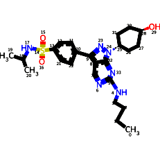 CCCCNc1ncc2c(-c3ccc(S(=O)(=O)NC(C)C)cc3)nn([C@H]3CC[C@H](O)CC3)c2n1